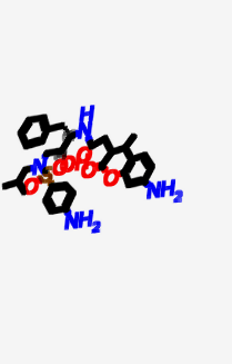 CC(C)CN(C[C@@H](O)[C@H](Cc1ccccc1)NC(=O)CC1C(=O)Oc2cc(N)ccc2C1C)S(=O)(=O)c1ccc(N)cc1